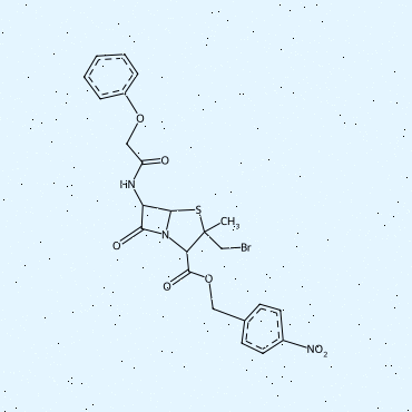 CC1(CBr)SC2C(NC(=O)COc3ccccc3)C(=O)N2C1C(=O)OCc1ccc([N+](=O)[O-])cc1